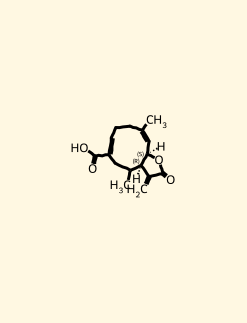 C=C1C(=O)O[C@@H]2C=C(C)CCC=C(C(=O)O)CC(C)[C@H]12